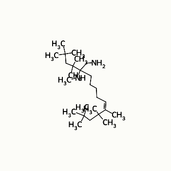 CNC(CN)(CCCC/C=C(/C)C(C)(C)CC(C)(C)C)C(C)(C)CC(C)(C)C